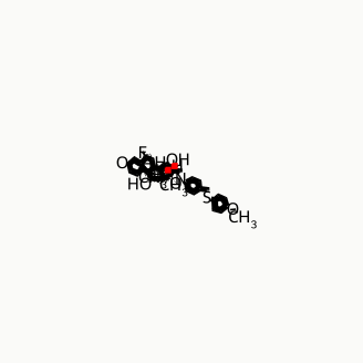 COc1ccc(SCc2ccc(N3C[C@@H]4C[C@H]5[C@@H]6C[C@H](F)C7=CC(=O)C=C[C@]7(C)[C@@]6(F)[C@@H](O)C[C@]5(C)[C@]4(C(=O)CO)O3)cc2)cc1